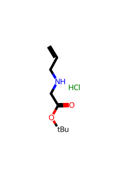 C=CCNCC(=O)OC(C)(C)C.Cl